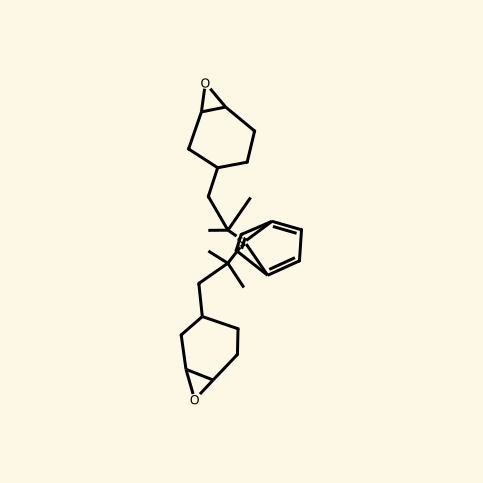 CC(C)(CC1CCC2OC2C1)[Si]1(C(C)(C)CC2CCC3OC3C2)C2=CC=C1C=C2